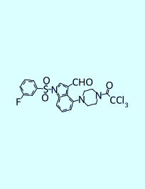 O=Cc1cn(S(=O)(=O)c2cccc(F)c2)c2cccc(N3CCN(C(=O)C(Cl)(Cl)Cl)CC3)c12